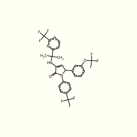 CC(C)(NC1=CC(c2cccc(OC(F)(F)F)c2)N(c2ccc(C(F)(F)F)cc2)C1=O)c1ccnc(C(F)(F)F)n1